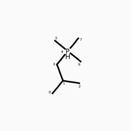 CC(C)C[PH](C)(C)C